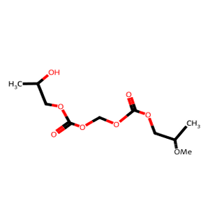 COC(C)COC(=O)OCOC(=O)OCC(C)O